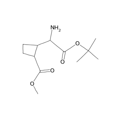 COC(=O)C1CCC1C(N)C(=O)OC(C)(C)C